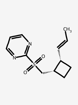 C/C=C/[C@@H]1CC[C@@H]1CS(=O)(=O)c1ncccn1